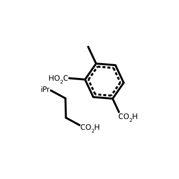 CC(C)CCC(=O)O.Cc1ccc(C(=O)O)cc1C(=O)O